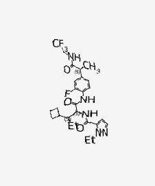 CC[C@@H](C1CCC1)[C@H](NC(=O)c1ccnn1CC)C(=O)Nc1ccc([C@H](C)C(=O)NCC(F)(F)F)cc1F